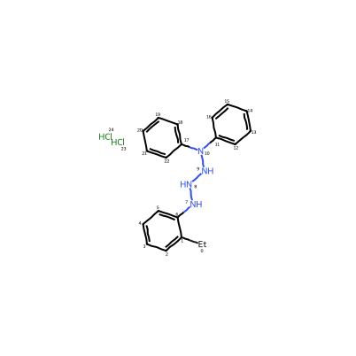 CCc1ccccc1NNNN(c1ccccc1)c1ccccc1.Cl.Cl